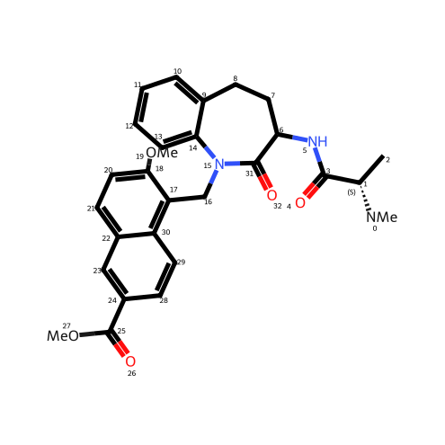 CN[C@@H](C)C(=O)NC1CCc2ccccc2N(Cc2c(OC)ccc3cc(C(=O)OC)ccc23)C1=O